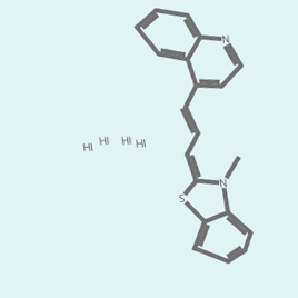 CN1C(=CC=Cc2ccnc3ccccc23)Sc2ccccc21.I.I.I.I